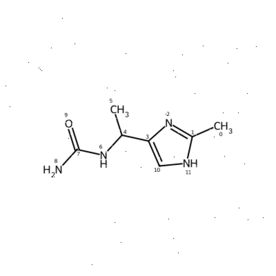 Cc1nc(C(C)NC(N)=O)c[nH]1